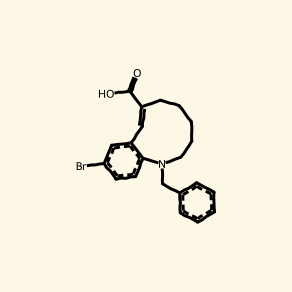 O=C(O)/C1=C\c2cc(Br)ccc2N(Cc2ccccc2)CCCCC1